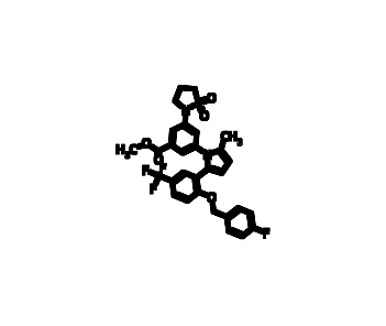 COC(=O)c1cc(N2CCCS2(=O)=O)cc(-n2c(C)ccc2-c2cc(C(F)(F)F)ccc2OCc2ccc(F)cc2)c1